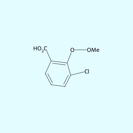 COOc1c(Cl)cccc1C(=O)O